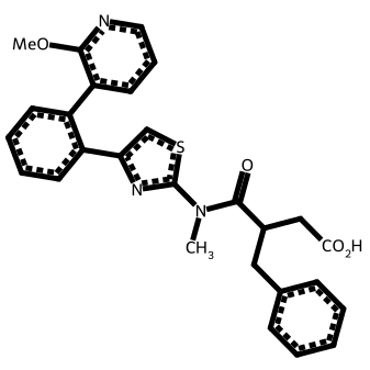 COc1ncccc1-c1ccccc1-c1csc(N(C)C(=O)C(CC(=O)O)Cc2ccccc2)n1